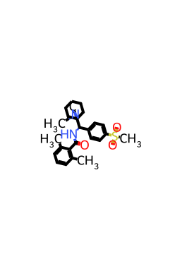 Cc1cccc(C)c1C(=O)N[C@H](c1ccc(S(C)(=O)=O)cc1)C12CCC(CC1)CN2C